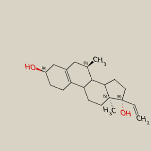 C=C[C@]1(O)CCC2C3C(CC[C@@]21C)C1=C(C[C@H](O)CC1)C[C@H]3C